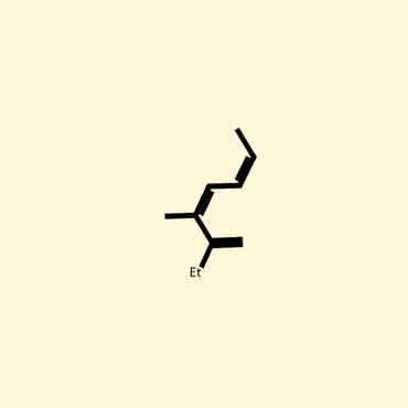 C=C(CC)/C(C)=C\C=C/C